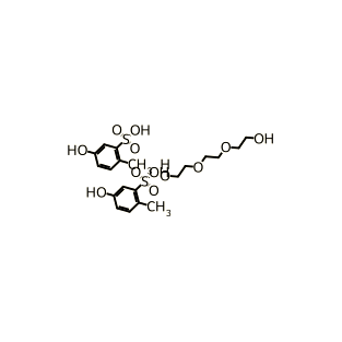 Cc1ccc(O)cc1S(=O)(=O)O.Cc1ccc(O)cc1S(=O)(=O)O.OCCOCCOCCO